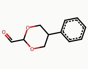 O=CC1OCC(c2ccccc2)CO1